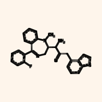 CN1c2ccccc2C(c2ccccc2F)=NCC1C(N)C(=O)Cc1cccc2sccc12